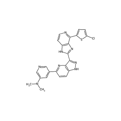 CN(C)c1cncc(-c2ccc3[nH]nc(-c4nc5c(-c6ccc(Cl)s6)nccc5[nH]4)c3n2)c1